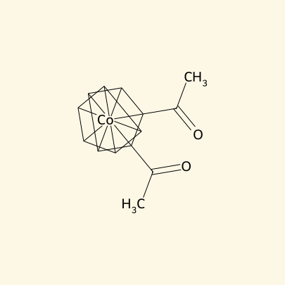 CC(=O)[C]12[CH]3[CH]4[CH]5[C]1(C(C)=O)[Co]43521678[CH]2[CH]1[CH]6[CH]7[CH]28